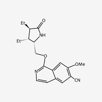 CC[C@H]1[C@@H](COc2nccc3cc(C#N)c(OC)cc23)NC(=O)[C@@H]1CC